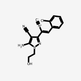 [C-]#[N+]C(=Cc1ccccc1Cl)c1nn(CCO)c(N)c1C#N